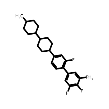 CC1CCC(C2CCC(c3ccc(-c4cc(F)c(F)c(P)c4)c(F)c3)CC2)CC1